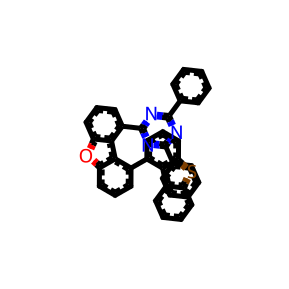 c1ccc(-c2nc(-c3ccccc3)nc(-c3cccc4oc5cccc(-c6cccc7sc8ccccc8c67)c5c34)n2)cc1